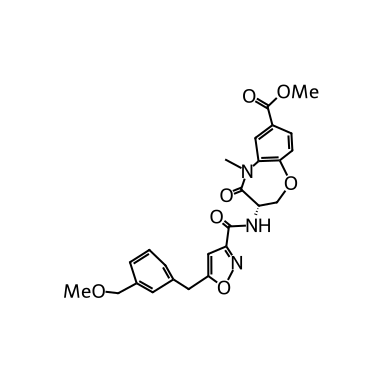 COCc1cccc(Cc2cc(C(=O)N[C@H]3COc4ccc(C(=O)OC)cc4N(C)C3=O)no2)c1